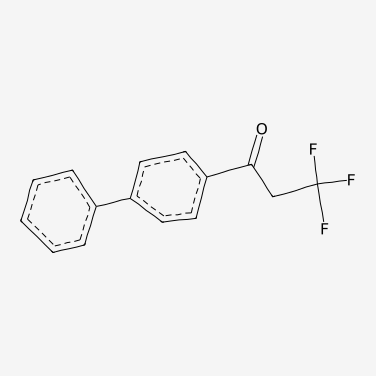 O=C(CC(F)(F)F)c1ccc(-c2ccccc2)cc1